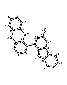 Clc1nc(-c2cccc3c2Sc2ccccc2S3)c2sc3ccccc3c2n1